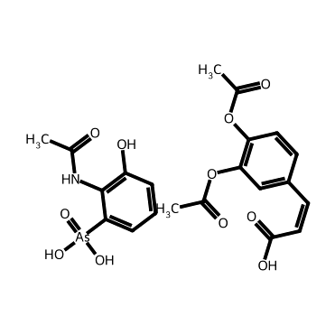 CC(=O)Nc1c(O)cccc1[As](=O)(O)O.CC(=O)Oc1ccc(/C=C\C(=O)O)cc1OC(C)=O